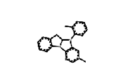 Cc1cnc2c(c1)N(c1ccccc1C)C1Cc3ccccc3N21